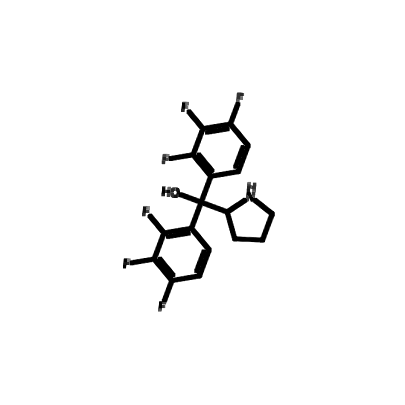 OC(c1ccc(F)c(F)c1F)(c1ccc(F)c(F)c1F)C1CCCN1